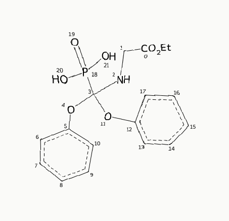 CCOC(=O)CNC(Oc1ccccc1)(Oc1ccccc1)P(=O)(O)O